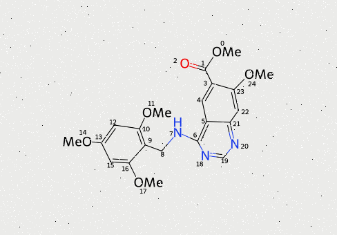 COC(=O)c1cc2c(NCc3c(OC)cc(OC)cc3OC)ncnc2cc1OC